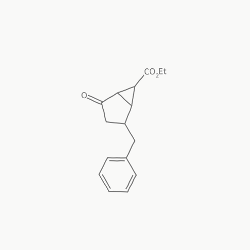 CCOC(=O)C1C2C(=O)CC(Cc3ccccc3)C21